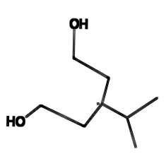 CC(C)[C](CCO)CCO